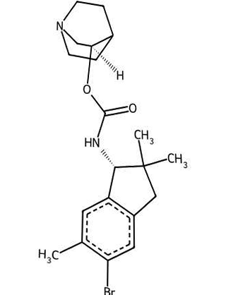 Cc1cc2c(cc1Br)CC(C)(C)[C@H]2NC(=O)O[C@H]1CN2CCC1CC2